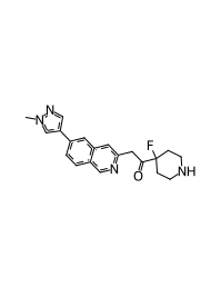 Cn1cc(-c2ccc3cnc(CC(=O)C4(F)CCNCC4)cc3c2)cn1